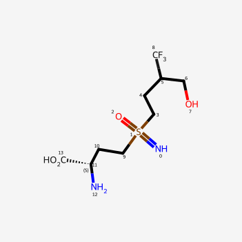 N=S(=O)(CCC(CO)C(F)(F)F)CC[C@H](N)C(=O)O